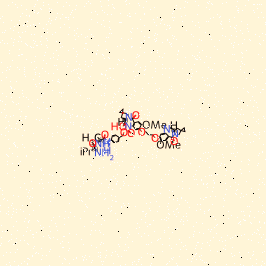 COc1cc2c(cc1OCCCOc1cc3c(cc1OC)C(=O)N1CC4(CC4)C[C@@H]1C(O)N3C(=O)OCc1ccc(NC(=O)[C@H](C)NC(=O)[C@@H](N)C(C)C)cc1)N=C[C@@H]1CC3(CC3)CN1C2=O